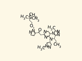 CCC1c2nnc(C)n2-c2cnc(CC(=O)c3ccnn3COCC[Si](C)(C)C)nc2N1c1cnn(C)c1